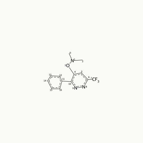 CN(C)Oc1cc(C(F)(F)F)nnc1-c1ccccc1